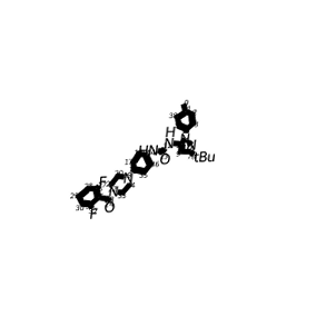 Cc1ccc(-n2nc(C(C)(C)C)cc2NC(=O)Nc2ccc(N3CCN(C(=O)c4c(F)cccc4F)CC3)cc2)cc1